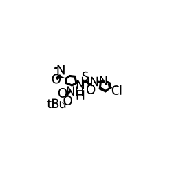 CN(C)C(=O)[C@H]1CC[C@H](NC(=S)C(=O)Nc2ccc(Cl)cn2)[C@H](NC(=O)OC(C)(C)C)C1